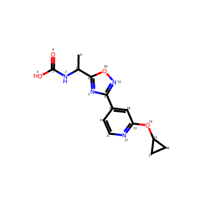 CC(NC(=O)O)c1nc(-c2ccnc(OC3CC3)c2)no1